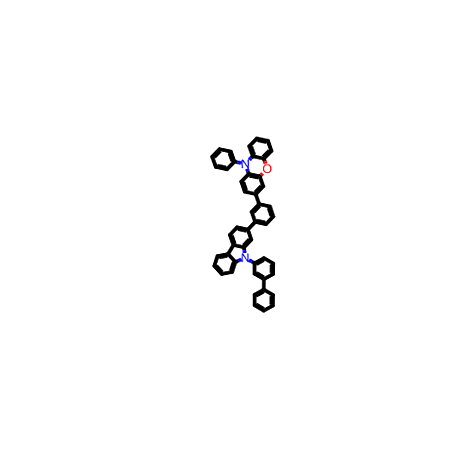 c1ccc(-c2cccc(-n3c4ccccc4c4ccc(-c5cccc(-c6ccc7c(c6)Oc6ccccc6N7c6ccccc6)c5)cc43)c2)cc1